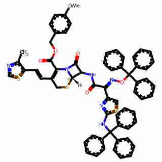 COc1ccc(COC(=O)C2=C(C=Cc3scnc3C)CS[C@H]3C(NC(=O)C(=NOC(c4ccccc4)(c4ccccc4)c4ccccc4)c4csc(NC(c5ccccc5)(c5ccccc5)c5ccccc5)n4)C(=O)N23)cc1